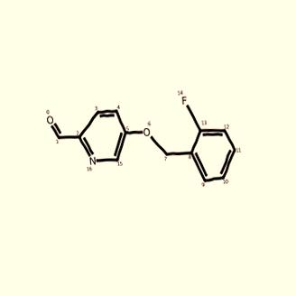 O=Cc1ccc(OCc2ccccc2F)cn1